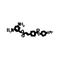 CCCC1CCC(OC(=O)c2ccc(/C=C/C(=O)OCc3cc(N)cc(N)c3)cc2)CC1